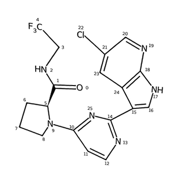 O=C(NCC(F)(F)F)[C@@H]1CCCN1c1ccnc(-c2c[nH]c3ncc(Cl)cc23)n1